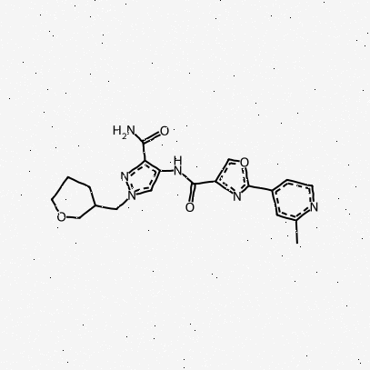 Cc1cc(-c2nc(C(=O)Nc3cn(CC4CCCOC4)nc3C(N)=O)co2)ccn1